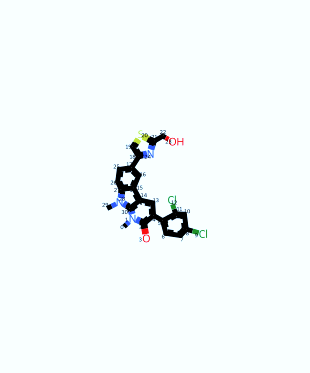 Cn1c(=O)c(-c2ccc(Cl)cc2Cl)cc2c3cc(-c4csc(CO)n4)ccc3n(C)c21